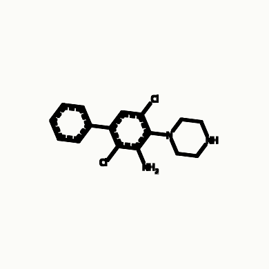 Nc1c(Cl)c(-c2ccccc2)cc(Cl)c1N1CCNCC1